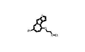 CCOCCOc1ccc(C(C)C)cc2cc3sccc3c1-2